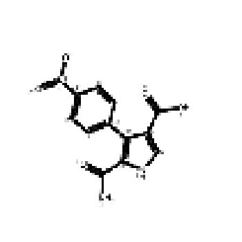 NC(=O)c1[nH]cc(C(=O)O)c1-c1ccc([N+](=O)[O-])cc1